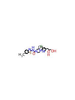 Cc1ccc2nc(NC(=O)N3CCN(c4ncc(CC(O)CO)cc4F)C(C)C3)sc2c1